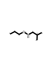 CCCONCC(C)C